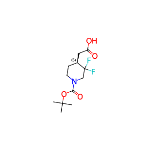 CC(C)(C)OC(=O)N1CC[C@@H](CC(=O)O)C(F)(F)C1